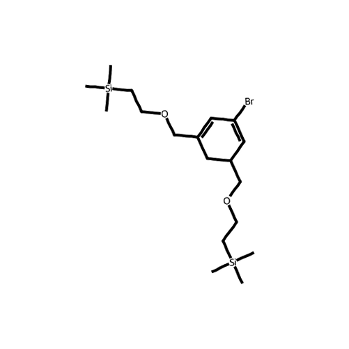 C[Si](C)(C)CCOCC1=CC(Br)=CC(COCC[Si](C)(C)C)C1